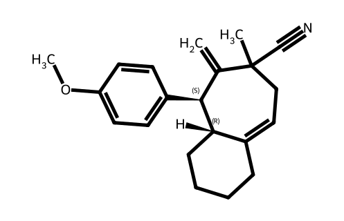 C=C1[C@H](c2ccc(OC)cc2)[C@H]2CCCCC2=CCC1(C)C#N